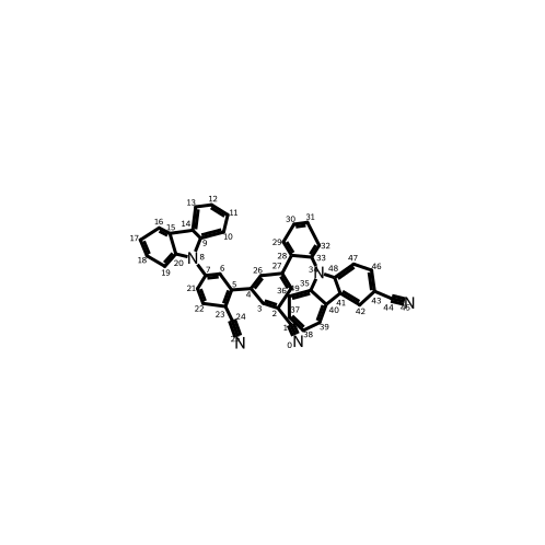 N#Cc1cc(-c2cc(-n3c4ccccc4c4ccccc43)ccc2C#N)cc(-c2ccccc2-n2c3ccccc3c3cc(C#N)ccc32)c1